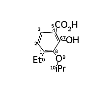 CCc1ccc(C(=O)O)c(O)c1OC(C)C